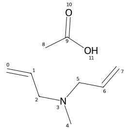 C=CCN(C)CC=C.CC(=O)O